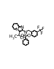 CC(C)c1c(N(Cc2cccc(C(F)(F)F)c2)S(=O)(=O)c2ccccc2)nc2ccccn12